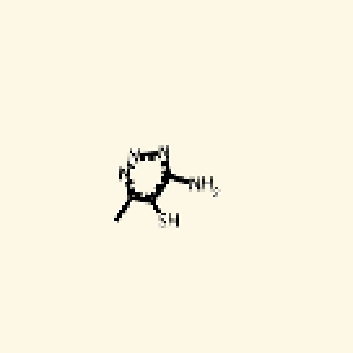 Cc1nnnc(N)c1S